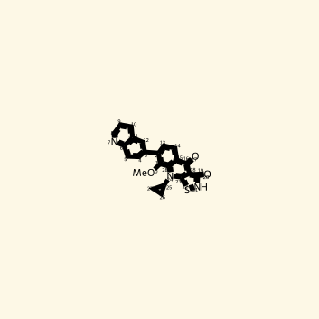 COc1c(-c2ccc3ncccc3c2)ccc2c(=O)c3c(=O)[nH]sc3n(C3CC3)c12